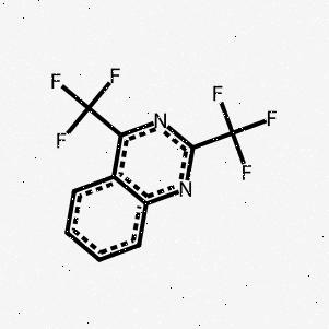 FC(F)(F)c1nc(C(F)(F)F)c2ccccc2n1